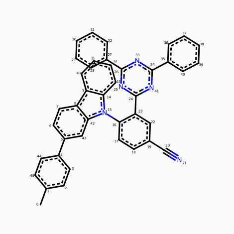 Cc1ccc(-c2ccc3c4ccccc4n(-c4ccc(C#N)cc4-c4nc(-c5ccccc5)nc(-c5ccccc5)n4)c3c2)cc1